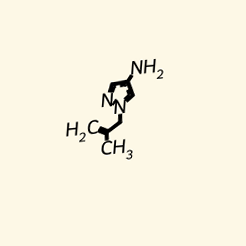 C=C(C)Cn1cc(N)cn1